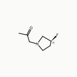 CC(=O)CN1CC[C@H](F)C1